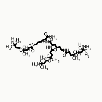 CC(C)(N)CCOC(C)(C)CCC(=O)NCCCCC(NC(=O)C(CCCCNC(=O)CCC(C)(C)OCCC(C)(C)N)NC(=O)CCC(C)(C)OCCC(C)(C)N)C(N)=O